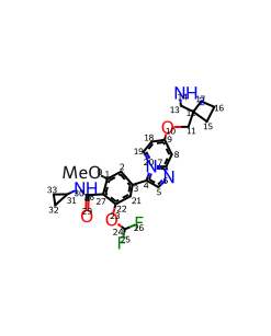 COc1cc(-c2cnc3cc(OCC4(CN)CCC4)ccn23)cc(OC(F)F)c1C(=O)NC1CC1